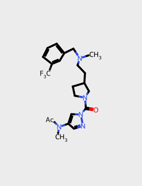 CC(=O)N(C)c1cnn(C(=O)N2CCC(CCN(C)Cc3cccc(C(F)(F)F)c3)C2)c1